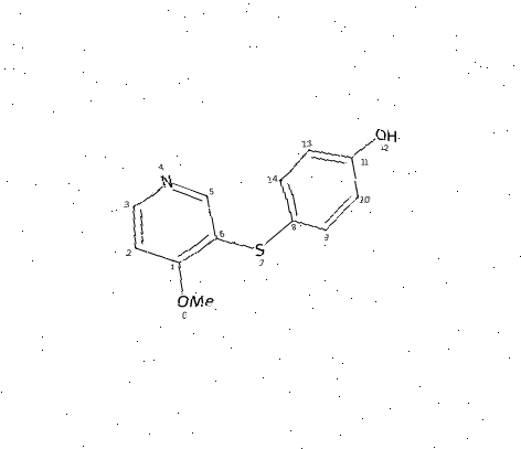 COc1ccncc1Sc1ccc(O)cc1